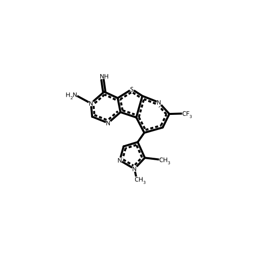 Cc1c(-c2cc(C(F)(F)F)nc3sc4c(=N)n(N)cnc4c23)cnn1C